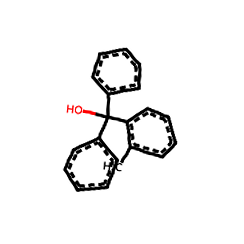 Cc1ccccc1C(O)(c1ccccc1)c1ccccc1